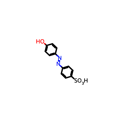 O=S(=O)(O)c1ccc(N=Nc2ccc(O)cc2)cc1